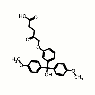 COc1ccc(C(O)(c2ccc(OC)cc2)c2cccc(OCC(=O)CCC(=O)O)c2)cc1